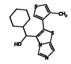 Cc1cscc1-c1sc2cncn2c1C(O)C1CCCCC1